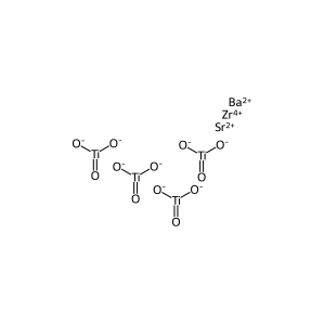 [Ba+2].[O]=[Ti]([O-])[O-].[O]=[Ti]([O-])[O-].[O]=[Ti]([O-])[O-].[O]=[Ti]([O-])[O-].[Sr+2].[Zr+4]